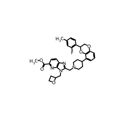 COC(=O)c1ccc2nc(CN3CCC(c4cccc5c4OC(c4ccc(C)cc4F)CO5)CC3)n(CC3CCO3)c2n1